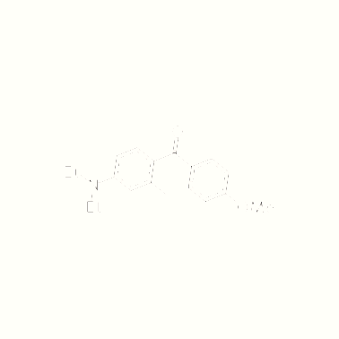 CCN(CC)c1ccc(C(=O)c2ccc(OC)cc2)c(C)c1